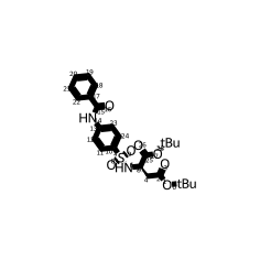 CC(C)(C)OC(=O)C[C@@H](NS(=O)(=O)c1ccc(NC(=O)c2ccccc2)cc1)C(=O)OC(C)(C)C